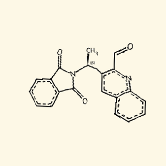 C[C@@H](c1cc2ccccc2nc1C=O)N1C(=O)c2ccccc2C1=O